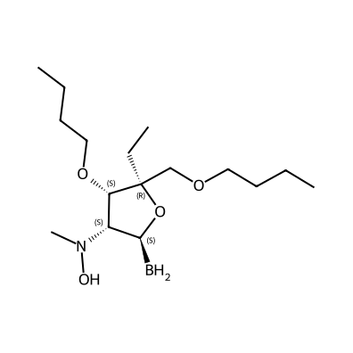 B[C@@H]1O[C@](CC)(COCCCC)[C@@H](OCCCC)[C@H]1N(C)O